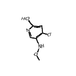 CONc1cnc(O)cc1Cl